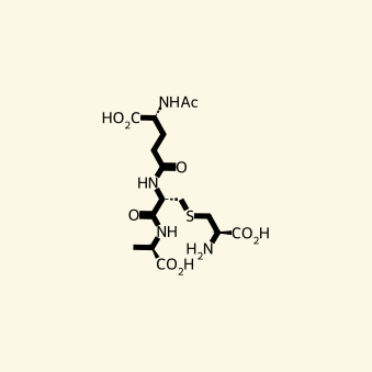 CC(=O)N[C@H](CCC(=O)N[C@H](CSC[C@H](N)C(=O)O)C(=O)N[C@H](C)C(=O)O)C(=O)O